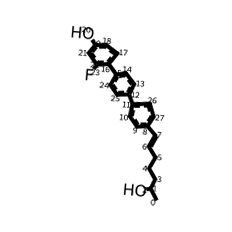 CC(O)CCCC=Cc1ccc(-c2ccc(-c3ccc(O)cc3F)cc2)cc1